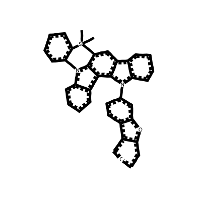 C[Si]1(C)c2ccccc2-n2c3ccccc3c3c2c1cc1c2ccccc2n(-c2ccc4c(c2)oc2ccccc24)c13